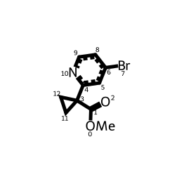 COC(=O)C1(c2cc(Br)ccn2)CC1